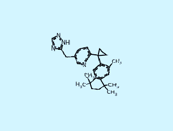 Cc1cc2c(cc1C1(c3ccc(Cc4ncn[nH]4)cn3)CC1)C(C)(C)CCC2(C)C